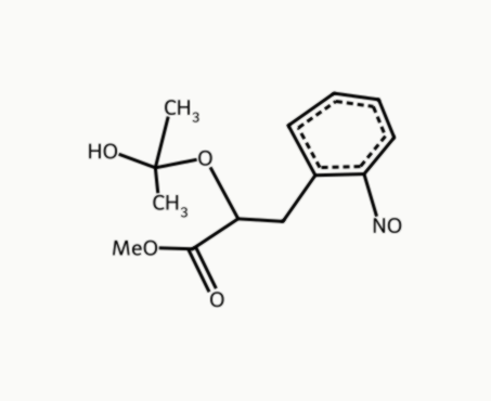 COC(=O)C(Cc1ccccc1N=O)OC(C)(C)O